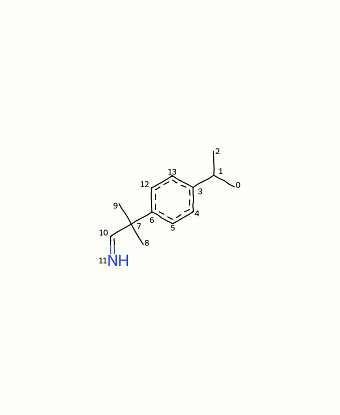 CC(C)c1ccc(C(C)(C)C=N)cc1